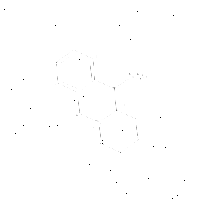 CNC1c2ccccc2CN2CCCCC12